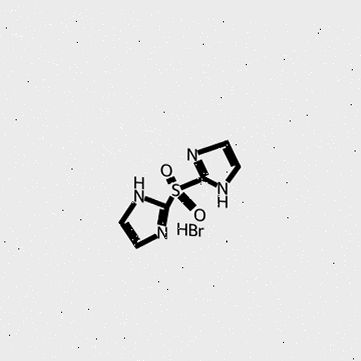 Br.O=S(=O)(c1ncc[nH]1)c1ncc[nH]1